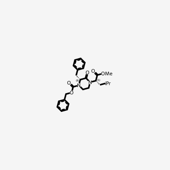 COC(=O)[C@H](CC(C)C)N1CCN(C(=O)OCc2ccccc2)[C@H](Cc2ccccc2)C1=O